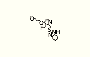 COCCCOc1ccnc(CSc2nc3ccccc3[nH]2)c1CF